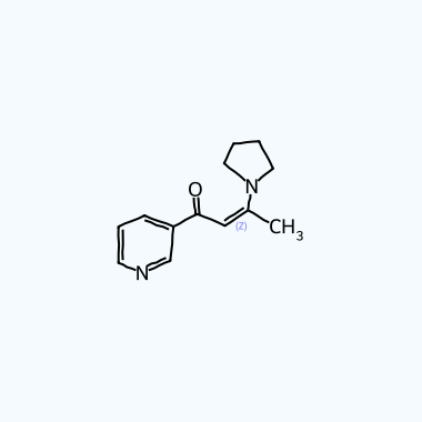 C/C(=C/C(=O)c1cccnc1)N1CCCC1